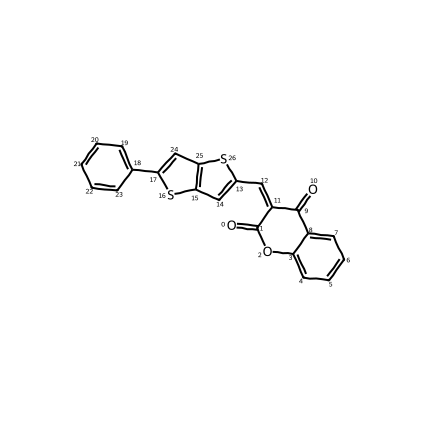 O=C1Oc2ccccc2C(=O)/C1=C/c1cc2sc(-c3ccccc3)cc2s1